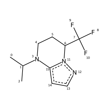 CC(C)N1CCC(C(F)(F)F)n2nccc21